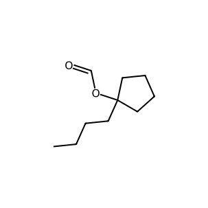 CCCCC1(OC=O)CCCC1